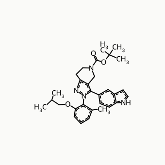 Cc1cccc(OCC(C)C)c1-n1nc2c(c1-c1ccc3[nH]ccc3c1)CN(C(=O)OC(C)(C)C)CC2